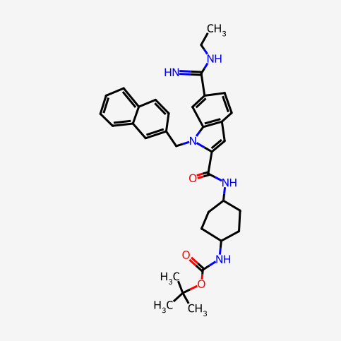 CCNC(=N)c1ccc2cc(C(=O)NC3CCC(NC(=O)OC(C)(C)C)CC3)n(Cc3ccc4ccccc4c3)c2c1